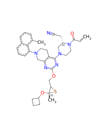 C=CC(=O)N1CCN(c2nc(OCC3S[C@]3(C)OC3CCC3)nc3c2CCN(c2cccc4cccc(C)c24)C3)C[C@@H]1CC#N